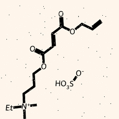 C=CCOC(=O)C=CC(=O)OCCC[N+](C)(C)CC.O=S(=O)([O-])O